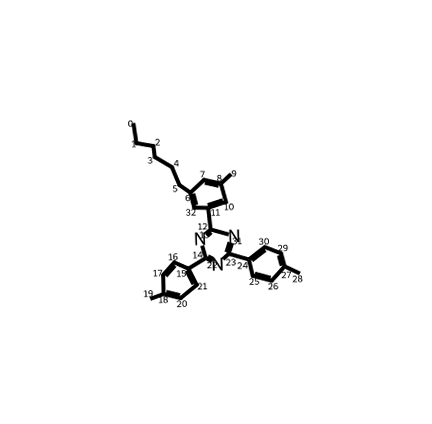 CCCCCCc1cc(C)cc(-c2nc(-c3ccc(C)cc3)nc(-c3ccc(C)cc3)n2)c1